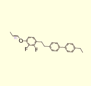 C/C=C/Oc1ccc(CCc2ccc(-c3ccc(CC)cc3)cc2)c(F)c1F